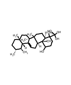 [CH2][C@]12CC[C@@H](C)[C@H](C)[C@H]1C1=CC[C@@H]3[C@@]4(C)C(O)CCC(C)(C(O)(O)O)[C@@H]4CC[C@@]3(C)[C@]1(C)CC2